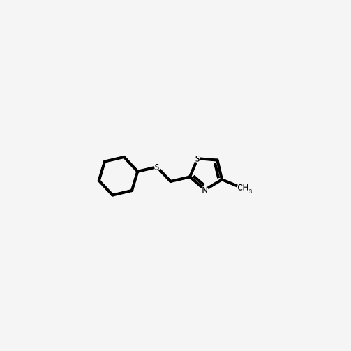 Cc1csc(CSC2CCCCC2)n1